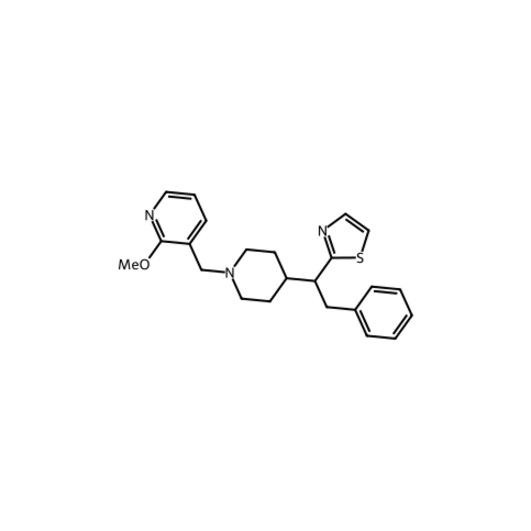 COc1ncccc1CN1CCC(C(Cc2ccccc2)c2nccs2)CC1